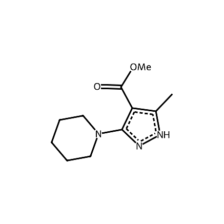 COC(=O)c1c(N2CCCCC2)n[nH]c1C